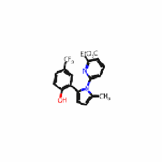 CCOC(=O)c1cccc(-n2c(C)ccc2-c2cc(C(F)(F)F)ccc2O)n1